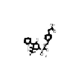 CN(C(=O)NCc1ccc(CC(=O)O)cc1)C1=CC(Cl)=C(c2ccccc2)C(Cl)(C(F)(F)F)C1